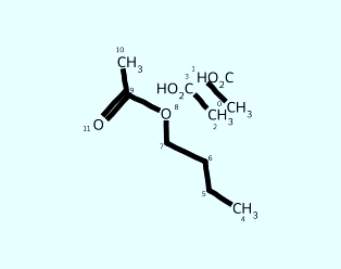 CC(=O)O.CC(=O)O.CCCCOC(C)=O